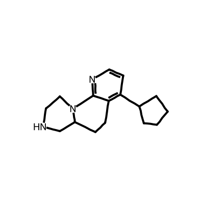 c1cc(C2CCCC2)c2c(n1)N1CCNCC1CC2